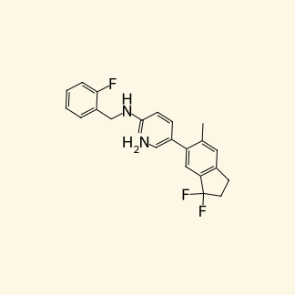 C=C(/C=C\C(=C/N)c1cc2c(cc1C)CCC2(F)F)NCc1ccccc1F